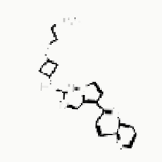 COCCO[C@H]1C[C@H](Nc2ncc3c(-c4ccc5ncccc5n4)ccn3n2)C1